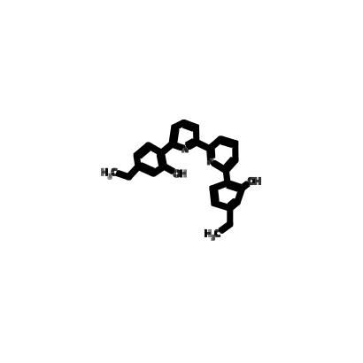 CCc1ccc(-c2cccc(-c3cccc(-c4ccc(CC)cc4O)n3)n2)c(O)c1